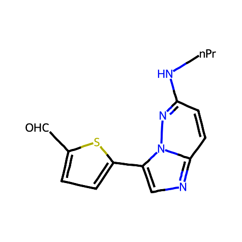 CCCNc1ccc2ncc(-c3ccc(C=O)s3)n2n1